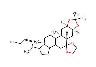 CC/C=C\[C@@H](C)[C@H]1CCC2C3CC4(OCCO4)[C@H]4C[C@@H]5OC(C)(C)O[C@@H]5C[C@]4(C)C3CC[C@@]21C